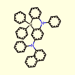 c1ccc(N2c3ccccc3[Si](c3ccccc3)(c3ccccc3)c3cc(N(c4ccccc4)c4cccc5ccccc45)ccc32)cc1